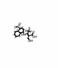 N=C/C(C(=O)O)=C(\Nc1ccc([N+](=O)[O-])c2ccccc12)C(F)(F)F